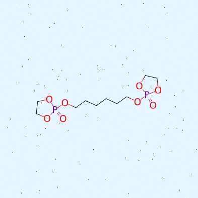 O=P1(OCCCCCCOP2(=O)OCCO2)OCCO1